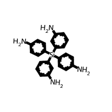 Nc1ccc([Si](c2ccc(N)cc2)(c2cccc(N)c2)c2cccc(N)c2)cc1